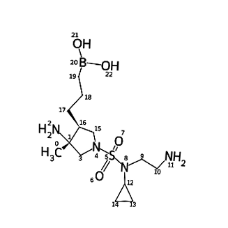 C[C@]1(N)CN(S(=O)(=O)N(CCN)C2CC2)C[C@@H]1CCCB(O)O